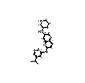 CC(C)c1cnnc(Nc2ccc3ncc(NC4CCCNC4)cc3n2)c1